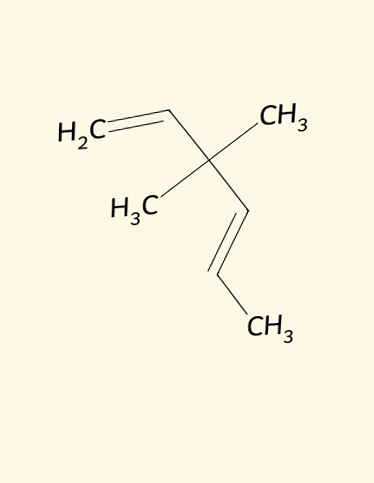 C=CC(C)(C)C=CC